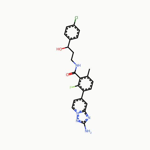 Cc1ccc(-c2ccn3nc(N)nc3c2)c(F)c1C(=O)NCCC(O)c1ccc(Cl)cc1